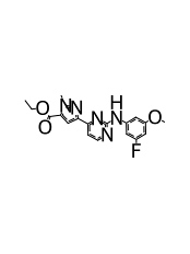 CCOC(=O)c1cc(-c2ccnc(Nc3cc(F)cc(OC)c3)n2)nn1C